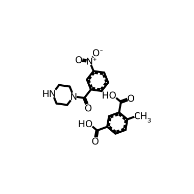 Cc1ccc(C(=O)O)cc1C(=O)O.O=C(c1cccc([N+](=O)[O-])c1)N1CCNCC1